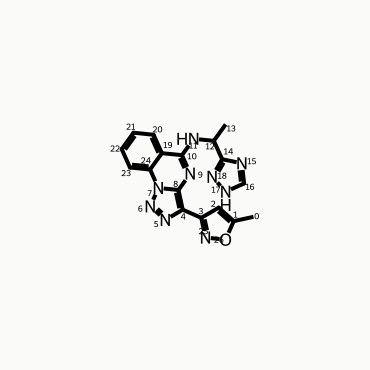 Cc1cc(-c2nnn3c2nc(NC(C)c2nc[nH]n2)c2ccccc23)no1